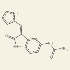 NC(=O)Nc1ccc2c(c1)/C(=C/c1ccc[nH]1)C(=O)N2